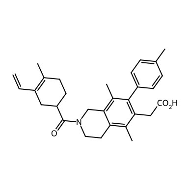 C=CC1=C(C)CCC(C(=O)N2CCc3c(C)c(CC(=O)O)c(-c4ccc(C)cc4)c(C)c3C2)C1